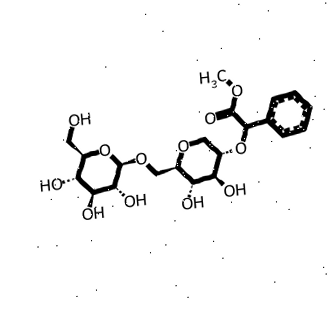 COC(=O)C(O[C@H]1CO[C@H](CO[C@@H]2O[C@H](CO)[C@@H](O)[C@H](O)[C@H]2O)[C@@H](O)[C@@H]1O)c1ccccc1